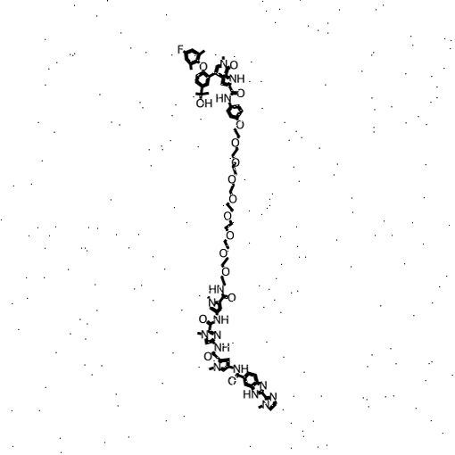 Cc1cc(F)cc(C)c1Oc1ccc(C(C)(C)O)cc1-c1cn(C)c(=O)c2[nH]c(C(=O)Nc3ccc(OCCOCCOCCOCCOCCOCCOCCOCCOCCNC(=O)c4cc(NC(=O)c5nc(NC(=O)c6cc(NC(=O)c7ccc8nc(-c9nccn9C)[nH]c8c7)cn6C)cn5C)cn4C)cc3)cc12